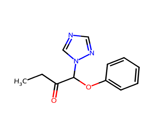 CCC(=O)C(Oc1ccccc1)n1cncn1